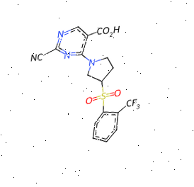 N#Cc1ncc(C(=O)O)c(N2CCC(S(=O)(=O)c3ccccc3C(F)(F)F)C2)n1